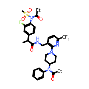 CCC(=O)N(c1ccccc1)C1CCN(c2nc(C(F)(F)F)ccc2CNC(=O)C(C)c2ccc(N(C(=O)CC)S(C)(=O)=O)c(F)c2)CC1